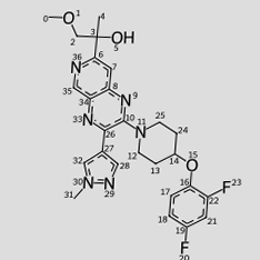 COCC(C)(O)c1cc2nc(N3CCC(Oc4ccc(F)cc4F)CC3)c(-c3cnn(C)c3)nc2cn1